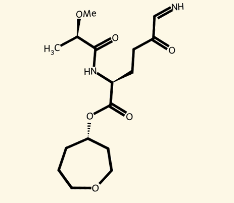 CO[C@H](C)C(=O)N[C@@H](CCC(=O)C=N)C(=O)O[C@H]1CCCOCC1